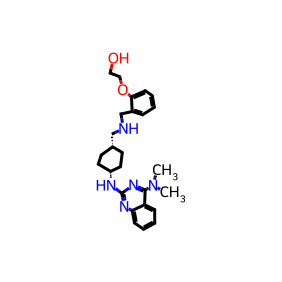 CN(C)c1nc(N[C@H]2CC[C@@H](CNCc3ccccc3OCCO)CC2)nc2ccccc12